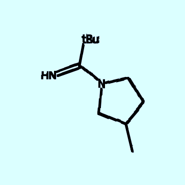 CC1CCN(C(=N)C(C)(C)C)C1